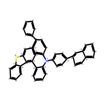 c1ccc(-c2ccc(N(c3ccc(-c4ccc5ccccc5c4)cc3)c3ccccc3-c3cccc4sc5ccccc5c34)cc2)cc1